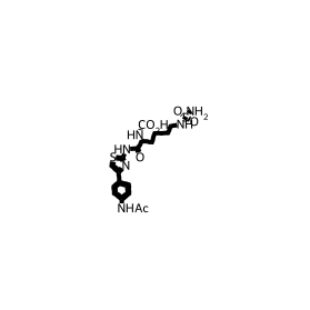 CC(=O)Nc1ccc(-c2csc(NC(=O)C(CCCCNS(N)(=O)=O)NC(=O)O)n2)cc1